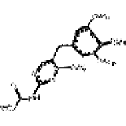 CCCCCCC(=O)Nc1ncc(Cc2cc(OC)c(OC)c(OC)c2)c(N)n1